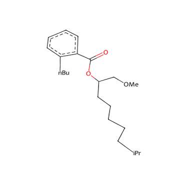 CCCCc1ccccc1C(=O)OC(CCCCCC(C)C)COC